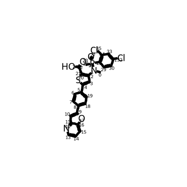 CN(c1cc(-c2ccc(-c3cc4ncccc4o3)cc2)sc1C(=O)O)P(C)(=O)c1ccc(Cl)cc1Cl